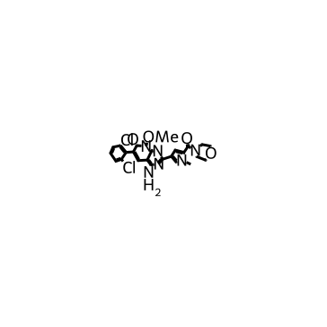 COn1c(=O)c(-c2c(Cl)cccc2Cl)cc2c(N)nc(-c3cc(C(=O)N4CCOCC4)n(C)c3)nc21